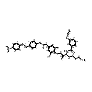 CN(C)c1ccc(/N=N/c2ccc(CNCc3cc(F)c(OCC(=O)C(CCCCN)NC(=O)c4cccc(N=[N+]=[N-])c4)c(F)c3)cc2)cc1